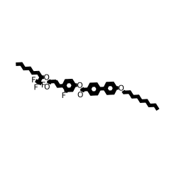 CCCCCCCCCOc1ccc(-c2ccc(C(=O)Oc3ccc(C=CC(=O)OC(CCCCCC)C(F)(F)F)c(F)c3)cc2)cc1